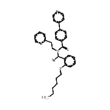 [2H]C(c1ccccc1OCCCCCC(=O)O)N(CCc1ccccn1)C(=O)c1ccc(-c2ccncc2)cc1